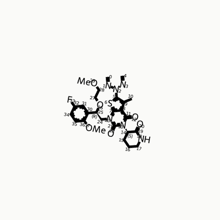 C=NN(N=C)c1sc2c(c1C)c(=O)n([C@H]1CCCNC1=O)c(=O)n2C[C@H](OCCOC)c1cc(F)ccc1OC